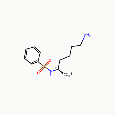 NCCCC[C@H](NS(=O)(=O)c1ccccc1)C(=O)O